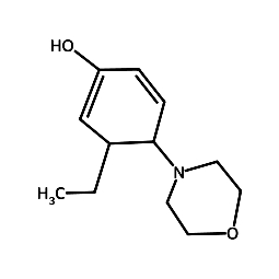 CCC1C=C(O)C=CC1N1CCOCC1